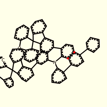 c1ccc(-c2ccc(-c3ccccc3N(c3cccc(-c4cccc5c4-c4ccccc4C54c5ccccc5Oc5ccccc54)c3)c3ccccc3-c3ccc4c(c3)-c3ccccc3C43c4ccccc4Oc4ccccc43)cc2)cc1